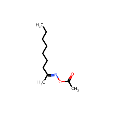 CCCCCCCC(C)=NOC(C)=O